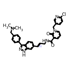 CN(C)Cc1ccc(-c2n[nH]c3cc(/C=C/CNC(=O)c4cccn(Cc5ccc(Cl)nc5)c4=O)ccc23)cc1